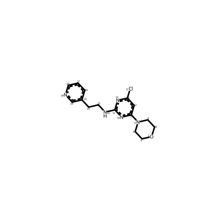 Clc1cc(N2CCOCC2)nc(NCCc2cccnc2)n1